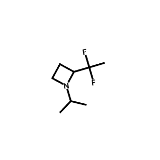 CC(C)N1CCC1C(C)(F)F